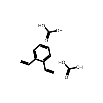 C=Cc1ccccc1C=C.O=C(O)O.O=C(O)O